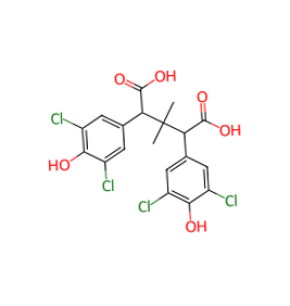 CC(C)(C(C(=O)O)c1cc(Cl)c(O)c(Cl)c1)C(C(=O)O)c1cc(Cl)c(O)c(Cl)c1